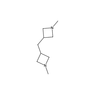 CN1CC(CC2CN(C)C2)C1